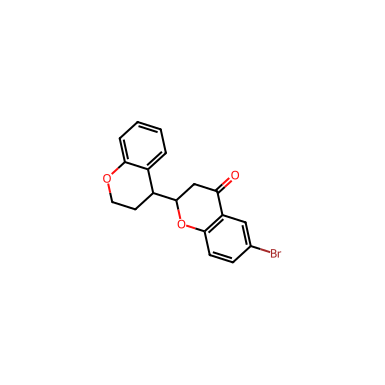 O=C1CC(C2CCOc3ccccc32)Oc2ccc(Br)cc21